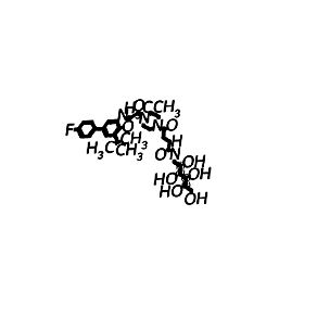 CC(C)(C)c1cc(-c2ccc(F)cc2)cc2nc(C(=O)N3CCN(C(=O)CCC(=O)NC[C@H](O)[C@@H](O)[C@H](O)[C@H](O)CO)CC3(C)C)oc12